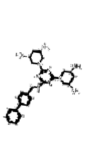 N[C@@H]1C[C@H](N)CN(c2nc(NCc3ccc(-c4ccccc4)cc3)nc(N3C[C@H](N)C[C@H](N)C3)n2)C1